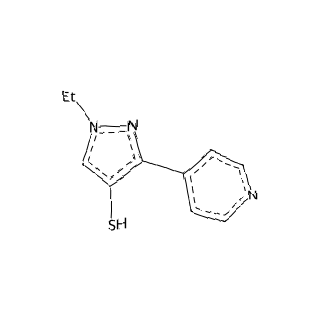 CCn1cc(S)c(-c2ccncc2)n1